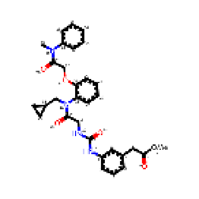 COC(=O)Cc1cccc(NC(=O)NCC(=O)N(CC2CC2)c2ccccc2OCC(=O)N(C)c2ccccc2)c1